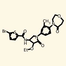 CCOC1C(=O)N(c2ccc(N3CCOCCC3=O)c(C)c2)CC1NC(=O)c1ccc(Br)s1